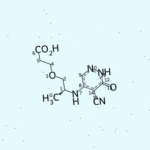 C[C@@H](COCCC(=O)O)Nc1cn[nH]c(=O)c1C#N